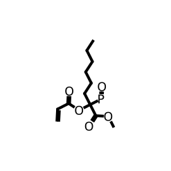 C=CC(=O)OC(CCCCCC)(P=O)C(=O)OC